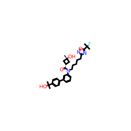 CC(C)(O)c1ccc(-c2cccc(N(CCCCCc3noc(C(C)(C)F)n3)C(=O)[C@H]3C[C@@](C)(O)C3)c2)cc1